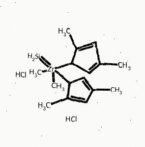 CC1=C[CH]([Zr]([CH3])([CH3])(=[SiH2])[CH]2C=C(C)C=C2C)C(C)=C1.Cl.Cl